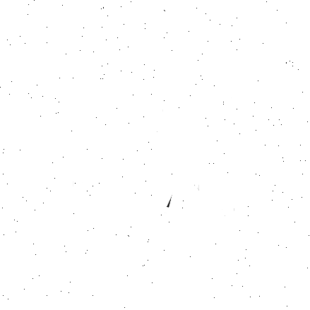 CCOC(=O)N1c2ccc(C(F)(F)F)cc2C(C(=O)c2cc(C(F)(F)F)cc(C(F)(F)F)c2)C[C@@H]1CC